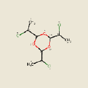 CC(Cl)C1OC(C(C)Cl)OC(C(C)Cl)O1